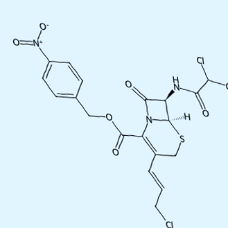 O=C(OCc1ccc([N+](=O)[O-])cc1)C1=C(/C=C/CCl)CS[C@@H]2[C@H](NC(=O)C(Cl)Cl)C(=O)N12